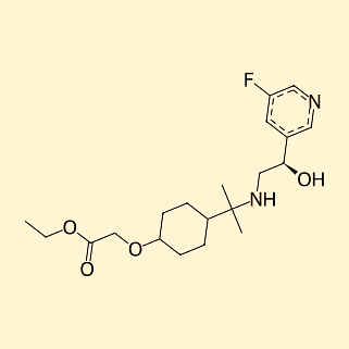 CCOC(=O)COC1CCC(C(C)(C)NC[C@H](O)c2cncc(F)c2)CC1